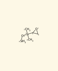 C[Si](C)(O[SiH3])C1CO1